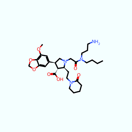 CCCCN(CCCN)C(=O)CN1C[C@H](c2cc(OC)c3c(c2)OCO3)[C@@H](C(=O)O)[C@@H]1CCN1CCCCC1=O